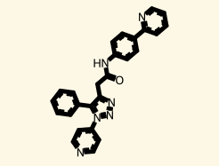 O=C(Cc1nnn(-c2ccncc2)c1-c1ccccc1)Nc1ccc(-c2ccccn2)cc1